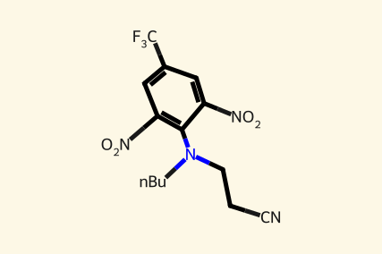 CCCCN(CCC#N)c1c([N+](=O)[O-])cc(C(F)(F)F)cc1[N+](=O)[O-]